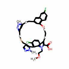 COCCn1c(C(=O)O)c2c3ccc(Cl)c(c31)-c1c(cnn1C)CSCc1cc(n(C)n1)CCc1cc(c3ccc(F)cc3c1)OCCC2